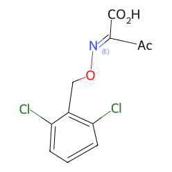 CC(=O)/C(=N\OCc1c(Cl)cccc1Cl)C(=O)O